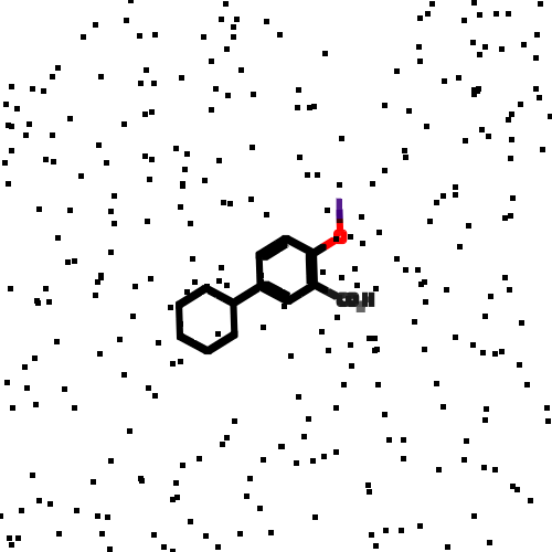 O=C(O)c1cc(C2CCCCC2)ccc1OI